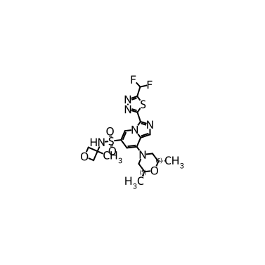 C[C@H]1CN(c2cc(S(=O)(=O)NC3(C)COC3)cn3c(-c4nnc(C(F)F)s4)ncc23)C[C@H](C)O1